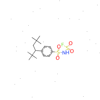 CC(C)(C)CC(c1ccc(S(=O)(=O)NS(=O)(=O)F)cc1)C(C)(C)C